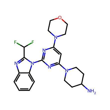 NC1CCN(c2cc(N3CCOCC3)nc(-n3c(C(F)F)nc4ccccc43)n2)CC1